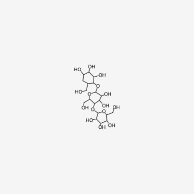 OCC1CC(O)C(O)C(O)C1OC1OC(CO)C(OC2OC(CO)C(O)C(O)C2O)C(O)C1O